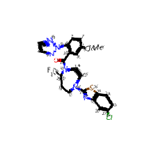 COc1ccc(-n2nccn2)c(C(=O)N2CCN(c3nc4cc(Cl)ccc4s3)CC[C@H]2C(F)(F)F)c1